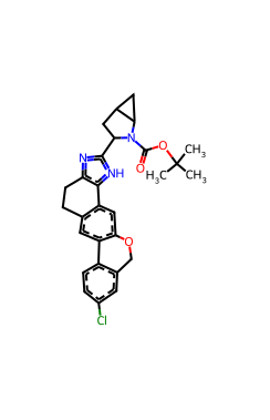 CC(C)(C)OC(=O)N1C(c2nc3c([nH]2)-c2cc4c(cc2CC3)-c2ccc(Cl)cc2CO4)CC2CC21